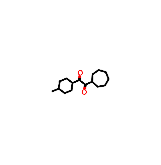 CC1CCC(C(=O)C(=O)C2CCCCCC2)CC1